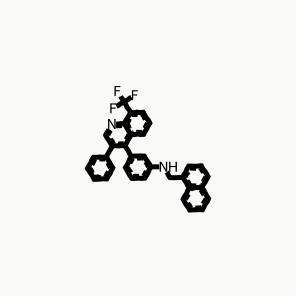 FC(F)(F)c1cccc2c(-c3cccc(NCc4cccc5ccccc45)c3)c(-c3ccccc3)cnc12